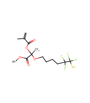 C=C(C)C(=O)OC(OCCCCC(F)(F)C(F)(F)S)(C(=O)OC(C)C)C(F)(F)F